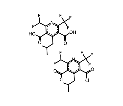 CC(C)Cc1c(C(=O)Cl)c(C(F)F)nc(C(F)(F)F)c1C(=O)Cl.CC(C)Cc1c(C(=O)O)c(C(F)F)nc(C(F)(F)F)c1C(=O)O